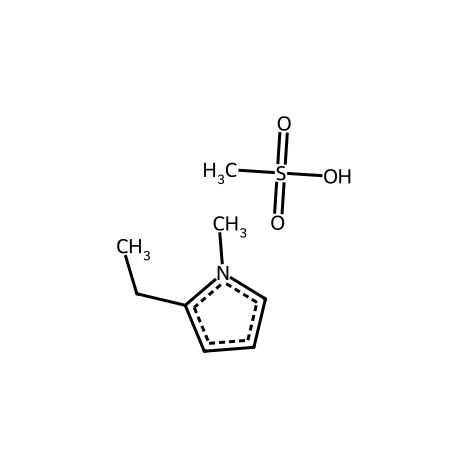 CCc1cccn1C.CS(=O)(=O)O